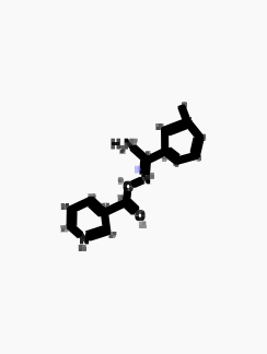 Cc1cccc(/C(N)=N/OC(=O)c2cccnc2)c1